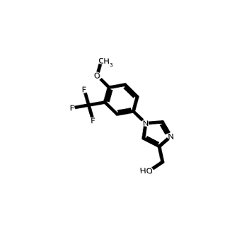 COc1ccc(-n2cnc(CO)c2)cc1C(F)(F)F